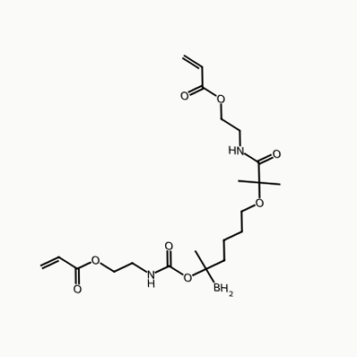 BC(C)(CCCCOC(C)(C)C(=O)NCCOC(=O)C=C)OC(=O)NCCOC(=O)C=C